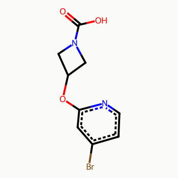 O=C(O)N1CC(Oc2cc(Br)ccn2)C1